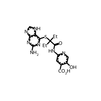 CCC(CC)(Sc1nc(N)nc2nc[nH]c12)C(=O)Nc1cc(C(=O)O)c(O)cn1